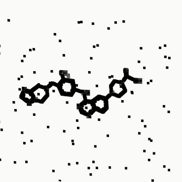 Cc1cc(Nc2ncnc3ccc(N4CCN(C(=O)O)CC4)cc23)ccc1CN1CCn2ncnc2C1